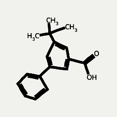 CC(C)(C)c1cc(C(=O)O)cc(-c2ccccc2)c1